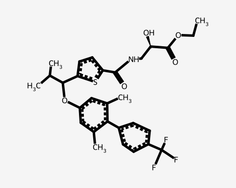 CCOC(=O)[C@H](O)CNC(=O)c1ccc(C(Oc2cc(C)c(-c3ccc(C(F)(F)F)cc3)c(C)c2)C(C)C)s1